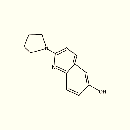 Oc1ccc2nc(N3CCCC3)ccc2c1